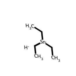 C[CH2][Sn]([CH2]C)[CH2]C.[H-]